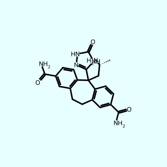 C[C@@H](N)CC1(c2n[nH]c(=O)[nH]2)c2ccc(C(N)=O)cc2CCc2cc(C(N)=O)ccc21